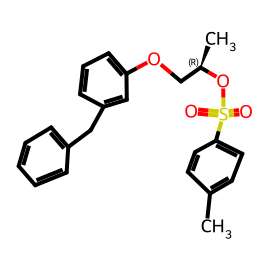 Cc1ccc(S(=O)(=O)O[C@H](C)COc2cccc(Cc3ccccc3)c2)cc1